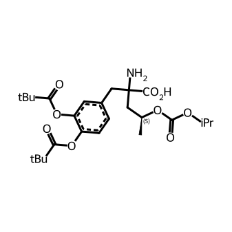 CC(C)OC(=O)O[C@@H](C)CC(N)(Cc1ccc(OC(=O)C(C)(C)C)c(OC(=O)C(C)(C)C)c1)C(=O)O